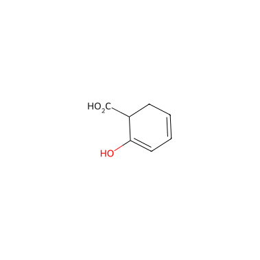 O=C(O)C1CC=CC=C1O